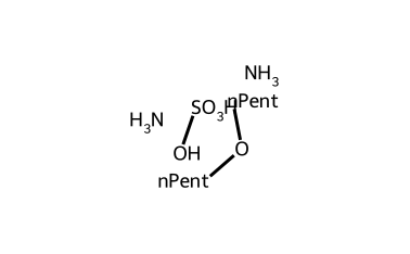 CCCCCOCCCCC.N.N.O=S(=O)(O)O